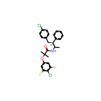 CC(NC(=O)C(C)(C)Oc1cc(F)c(Cl)c(F)c1)[C@@H](Cc1ccc(Cl)cc1)c1ccccc1